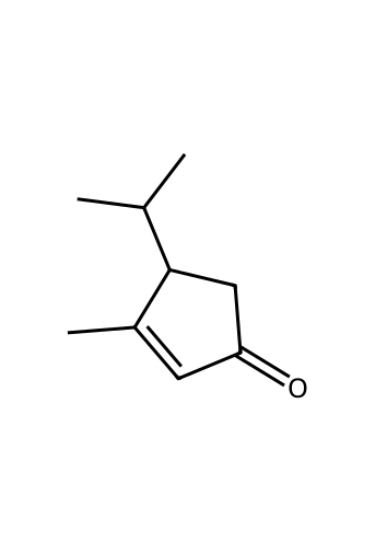 CC1=CC(=O)CC1C(C)C